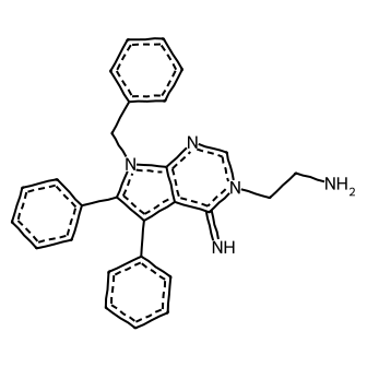 N=c1c2c(-c3ccccc3)c(-c3ccccc3)n(Cc3ccccc3)c2ncn1CCN